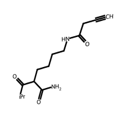 C#CCC(=O)NCCCCC(C(N)=O)C(=O)C(C)C